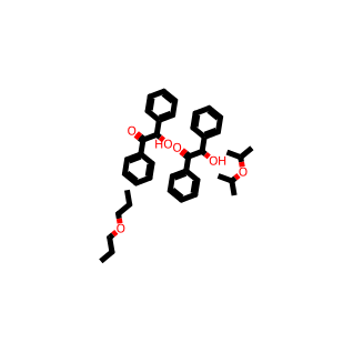 CC(C)OC(C)C.CCCOCCC.O=C(c1ccccc1)C(O)c1ccccc1.O=C(c1ccccc1)C(O)c1ccccc1